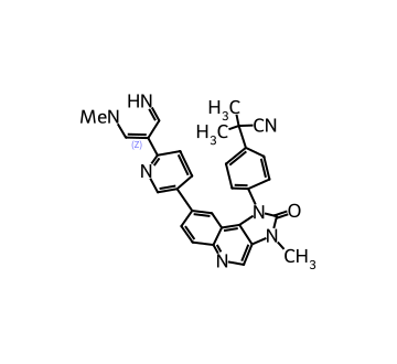 CN/C=C(\C=N)c1ccc(-c2ccc3ncc4c(c3c2)n(-c2ccc(C(C)(C)C#N)cc2)c(=O)n4C)cn1